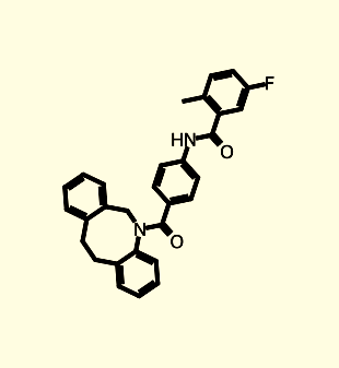 Cc1ccc(F)cc1C(=O)Nc1ccc(C(=O)N2Cc3ccccc3CCc3ccccc32)cc1